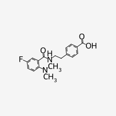 CN(C)c1ccc(F)cc1C(=O)NCCc1ccc(C(=O)O)cc1